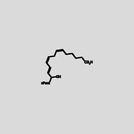 CCCCCC(O)/C=C/C=C\C/C=C\CCCCC(=O)O